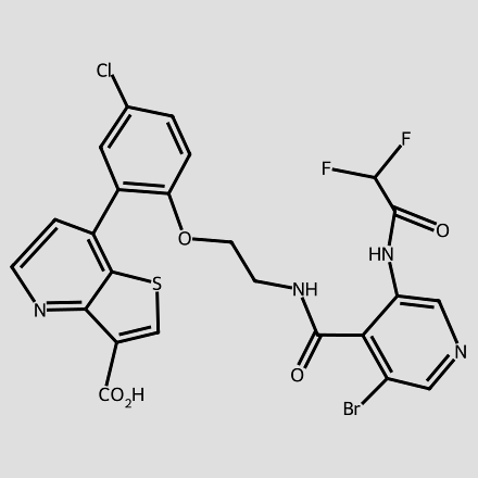 O=C(NCCOc1ccc(Cl)cc1-c1ccnc2c(C(=O)O)csc12)c1c(Br)cncc1NC(=O)C(F)F